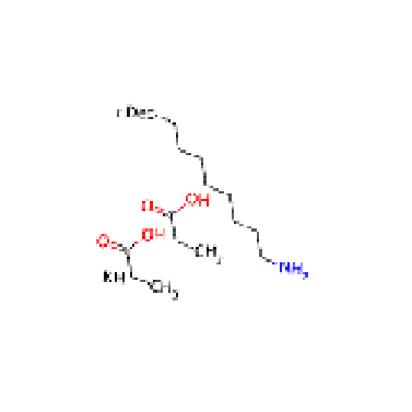 CCC(=O)O.CCC(=O)O.CCCCCCCCCCCCCCCCCCN.[KH]